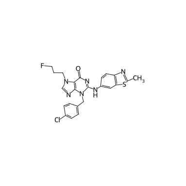 Cc1nc2ccc(Nc3nc(=O)c4c(ncn4CCCF)n3Cc3ccc(Cl)cc3)cc2s1